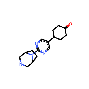 O=C1CCC(c2cnc(N3C4CCC3CNC4)nc2)CC1